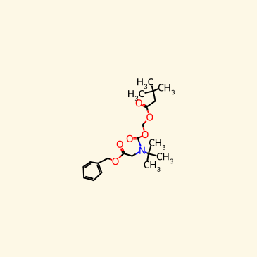 CC(C)(C)CC(=O)OCOC(=O)N(CC(=O)OCc1ccccc1)C(C)(C)C